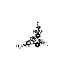 N=C(N)c1cccc(C[C@H](N[S+]([O-])c2cccc(NC(=O)C3CNC3)c2)C(=O)N2CCC(CCN)CC2)c1